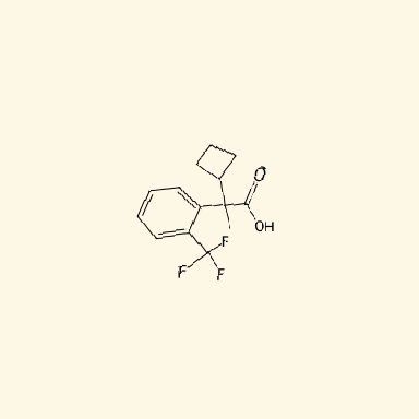 CC(C(=O)O)(c1ccccc1C(F)(F)F)C1CCC1